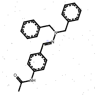 CC(=O)Nc1ccc(/C=N/N(Cc2ccccc2)Cc2ccccc2)cc1